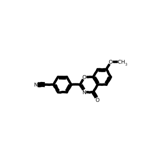 COc1ccc2c(=O)nc(-c3ccc(C#N)cc3)oc2c1